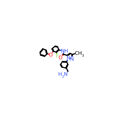 Cc1cc(C(=O)Nc2cccc(Oc3ccccc3)c2F)n(-c2cccc(CN)c2)n1